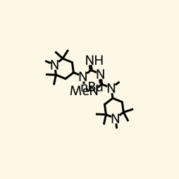 CCCCN(C(=N)/N=C(\NC)N(C)C1CC(C)(C)N(C)C(C)(C)C1)C1CC(C)(C)N(C)C(C)(C)C1